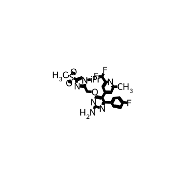 Cc1cc(-c2c(OCc3nc(S(C)(=O)=O)cn3C(C)C)nc(N)nc2-c2ccc(F)cc2)cc(C(F)F)n1